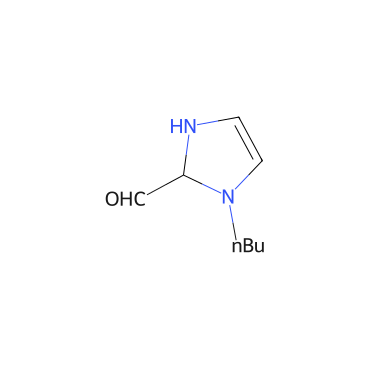 CCCCN1C=CNC1C=O